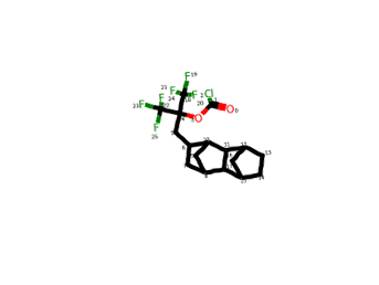 O=C(Cl)OC(CC1CC2CC1C1C3CCC(C3)C21)(C(F)(F)F)C(F)(F)F